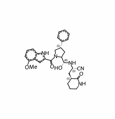 COc1cccc2[nH]c(C(=O)N3C[C@H](c4ccccc4)CC3[C@@H](O)N[C@H](C#N)C[C@@H]3CCCNC3=O)cc12